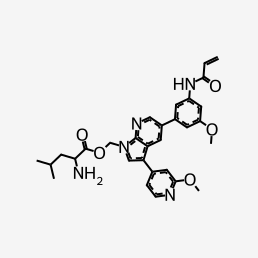 C=CC(=O)Nc1cc(OC)cc(-c2cnc3c(c2)c(-c2ccnc(OC)c2)cn3COC(=O)C(N)CC(C)C)c1